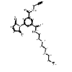 C#CCNC(=O)c1cc(C(=O)NCCOCCOCCN)cc(N2C(=O)C=CC2=O)c1